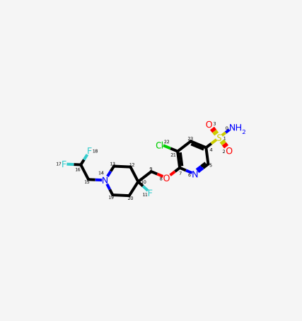 NS(=O)(=O)c1cnc(OCC2(F)CCN(CC(F)F)CC2)c(Cl)c1